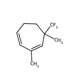 CC1=CC(C)(C(F)(F)F)CCC=C1